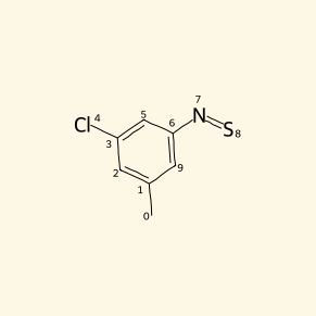 Cc1cc(Cl)cc(N=S)c1